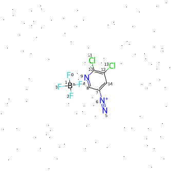 F[B-](F)(F)F.N#[N+]c1cnc(Cl)c(Cl)c1